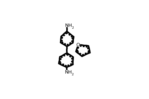 Nc1ccc(-c2ccc(N)cc2)cc1.c1ccoc1